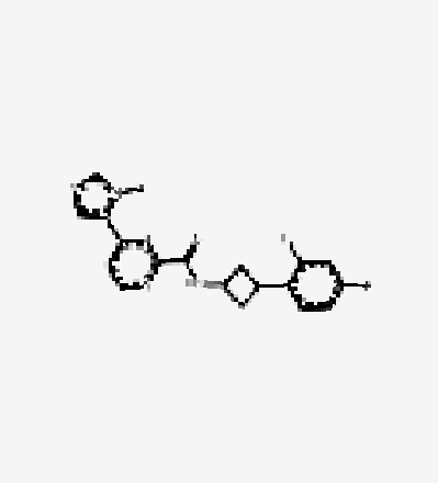 Cn1cncc1-c1ccnc(C(=O)NC2CC(c3ccc(F)cc3F)C2)n1